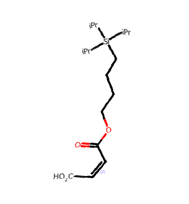 CC(C)[Si](CCCCOC(=O)/C=C\C(=O)O)(C(C)C)C(C)C